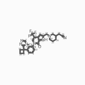 Cn1cnnc1C1(c2cccc(-n3cc(C(F)(F)F)c4cc(CN5CCCC(CC#N)C5)[nH]c4c3=O)c2)CCC1